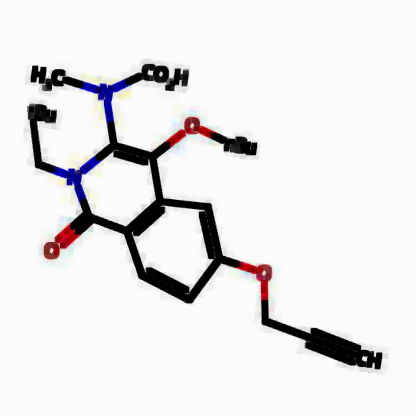 C#CCOc1ccc2c(=O)n(CC(C)(C)C)c(N(C)C(=O)O)c(OCCCC)c2c1